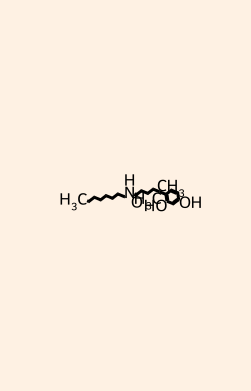 CCCCCCCCNC(=O)CCCC(C)(C)c1ccc(O)cc1O